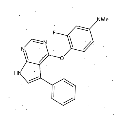 CNc1ccc(Oc2ncnc3[nH]cc(-c4ccccc4)c23)c(F)c1